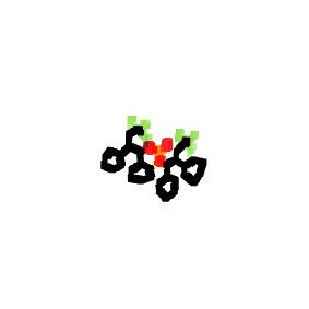 O=[PH](OC(=C(CC(F)(F)F)c1ccccc1)c1ccccc1)OC(=C(CC(F)(F)F)c1ccccc1)c1ccccc1